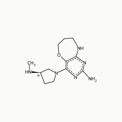 CN[C@@H]1CCN(c2nc(N)nc3c2OCCCN3)C1